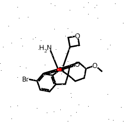 COC1CCC2(CC1)Cc1ccc(Br)cc1C21N=C(N)N(C2COC2)C1=O